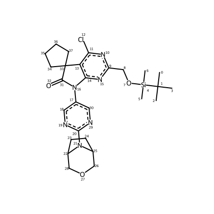 CC(C)(C)[Si](C)(C)OCc1nc(Cl)c2c(n1)N(c1cnc(N3C4CCC3COC4)nc1)C(=O)C21CCCC1